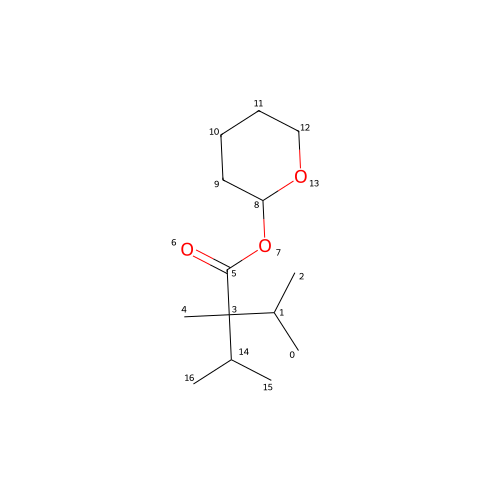 CC(C)C(C)(C(=O)OC1CCCCO1)C(C)C